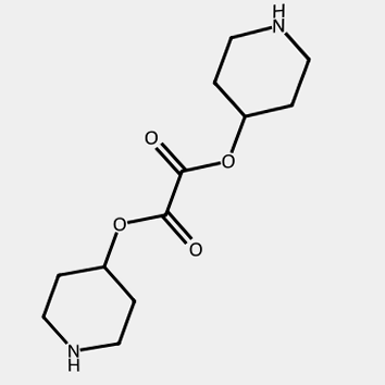 O=C(OC1CCNCC1)C(=O)OC1CCNCC1